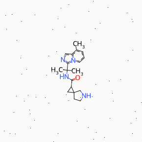 Cc1cccn2c(C(C)(C)NC(=O)C3CC34CCNC4)ncc12